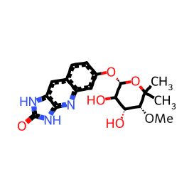 CO[C@@H]1[C@H](O)C(O)[C@H](Oc2ccc3cc4[nH]c(=O)[nH]c4nc3c2)OC1(C)C